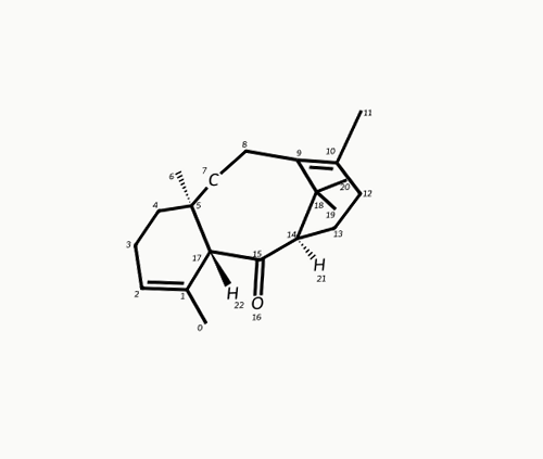 CC1=CCC[C@@]2(C)CCC3=C(C)CC[C@@H](C(=O)[C@H]12)C3(C)C